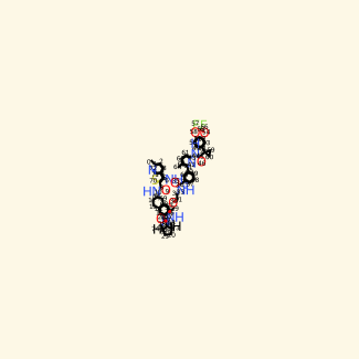 Cc1ccc2c(N)c(C(=O)N[C@H]3CCc4cc(N5C[C@H]6CC[C@@H](C5)C6C(=O)NCCOCCNC(=O)c5cccc(-c6nc(NC(=O)C7(c8ccc9c(c8)OC(F)(F)O9)CC7)ccc6C)c5)ccc4C3)sc2n1